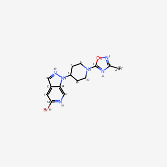 CC(C)c1noc(N2CCC(n3ncc4cc(Br)ncc43)CC2)n1